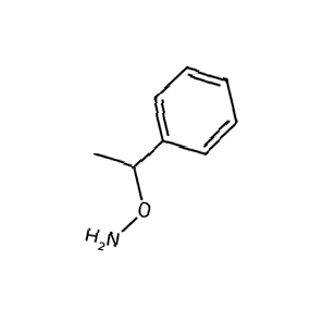 CC(ON)c1ccccc1